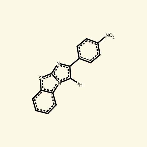 [3H]c1c(-c2ccc([N+](=O)[O-])cc2)nc2sc3ccccc3n12